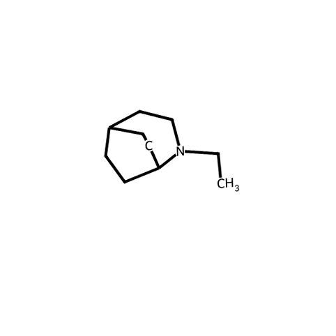 CCN1CCC2CCC1CC2